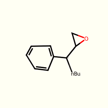 CCCC[C](c1ccccc1)C1CO1